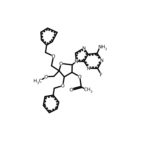 COCC1(COCc2ccccc2)OC(n2cnc3c(N)nc(F)nc32)C(OC(C)=O)C1OCc1ccccc1